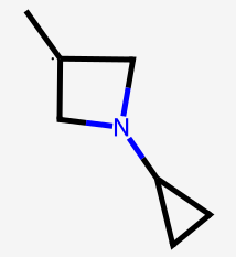 C[C]1CN(C2CC2)C1